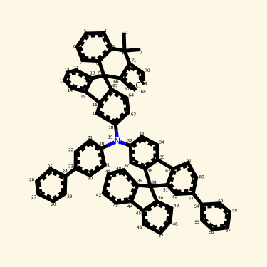 CC1(C)c2ccccc2C2(c3ccccc3-c3cc(N(c4ccc(-c5ccccc5)cc4)c4ccc5c(c4)C4(c6ccccc6-c6ccccc64)c4cc(-c6ccccc6)ccc4-5)ccc32)c2ccccc21